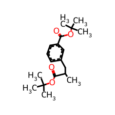 CC(Cc1cccc(C(=O)OC(C)(C)C)c1)C(=O)OC(C)(C)C